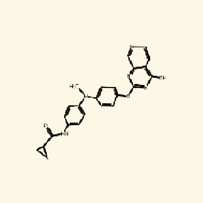 CN(c1ccc(NC(=O)C2CC2)cc1)c1ccc(Oc2nc(O)c3ccncc3n2)cc1